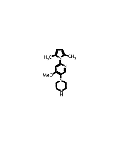 COc1cc(-n2c(C)ccc2C)ncc1N1CCNCC1